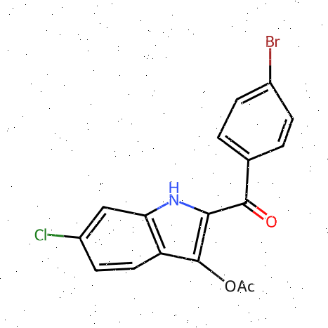 CC(=O)Oc1c(C(=O)c2ccc(Br)cc2)[nH]c2cc(Cl)ccc12